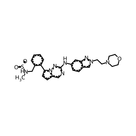 CN(Cc1ccccc1-c1ccc2cnc(Nc3ccc4cn(CCN5CCOCC5)nc4c3)nn12)[SH](=O)=O